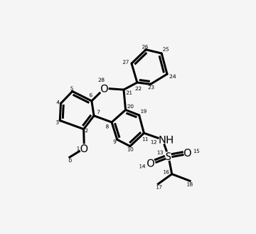 COc1cccc2c1-c1ccc(NS(=O)(=O)C(C)C)cc1C(c1ccccc1)O2